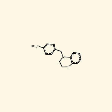 O=C(O)c1ccc(CN2CCSc3ccccc32)cc1